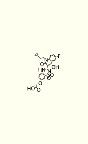 O=C(O)COc1ccc2c(c1)S(=O)(=O)N=C(c1c(O)c3cc(F)ccc3n(CCC3CC3)c1=O)N2